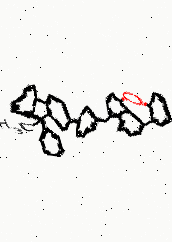 CC1(c2ccccc2)c2ccccc2-c2ccc(-c3cccc(-c4ccc5c6c(cccc46)-c4ccccc4O5)c3)cc21